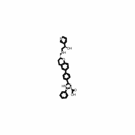 O=C(O)N1SC(c2ccc(-c3ccc4c(c3)CC[C@H](CNC[C@H](O)c3cccnc3)O4)cc2)NN1c1ccccc1